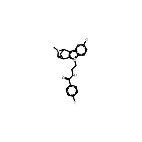 CN1C=C2CC1c1c2n(CCNC(=O)c2ccc(Cl)cc2)c2ccc(Cl)cc12